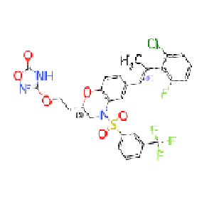 C/C(=C\c1ccc2c(c1)N(S(=O)(=O)c1cccc(C(F)(F)F)c1)C[C@H](CCOc1noc(=O)[nH]1)O2)c1c(F)cccc1Cl